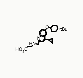 CC(C)(C)[C@H]1CC[C@H](Oc2ccc3nc(CNCCC(=O)O)cc(C4CC4)c3c2)CC1